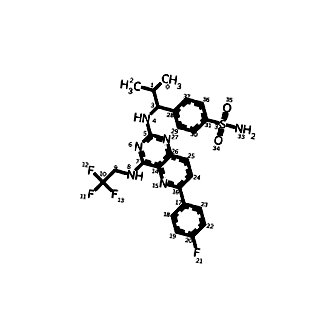 CC(C)C(Nc1nc(NCC(F)(F)F)c2nc(-c3ccc(F)cc3)ccc2n1)c1ccc(S(N)(=O)=O)cc1